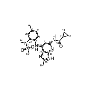 Cc1ccc(Nc2cc(NC(=O)C3CC3)nc3[nH]c(C)nc23)c(N(C)S(C)(=O)=O)c1